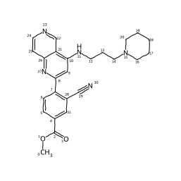 COC(=O)c1ccc(-c2cc(NCCCN3CCCCC3)c3cnccc3n2)c(C#N)c1